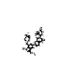 Nc1n[nH]c2c(CN3CCC4(CC3)COC4)cc(-c3ccc4c(c3)CN(C3CCC(=O)NC3=O)C3OC43)nc12